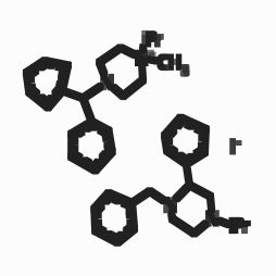 CC(C)N1CCN(Cc2ccccc2)C(c2ccccc2)C1.CC(C)[N+]1(C)CCN(C(c2ccccc2)c2ccccc2)CC1.[I-]